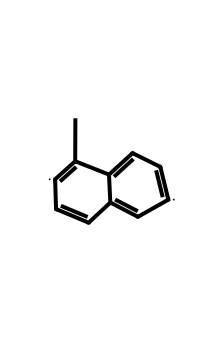 Cc1[c]ccc2c[c]ccc12